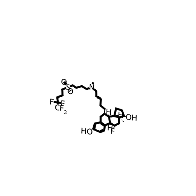 CN(CCCCC[C@@H]1Cc2cc(O)ccc2[C@@H]2[C@@H]1[C@@H]1CC[C@H](O)[C@@]1(C)C[C@@H]2F)CCCCS(=O)(=O)CCCC(F)(F)C(F)(F)F